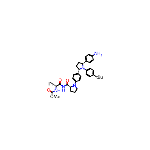 COC(=O)N[C@H](C(=O)NC(=O)[C@@H]1CCCN1c1ccc([C@@H]2CC[C@@H](c3ccc(N)cc3)N2c2ccc(C(C)(C)C)cc2)cc1)C(C)C